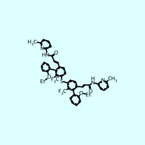 CCOc1ccccc1-c1c(/C=C/C(=O)Nc2cccc(C)n2)ccc(Sc2ccc(/C=C/C(=O)Nc3cccc(C)n3)c(-c3ccccc3OCC)c2C(F)(F)F)c1C(F)(F)F